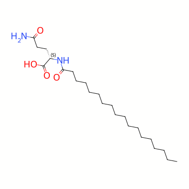 CCCCCCCCCCCCCCCCCC(=O)N[C@@H](CCC(N)=O)C(=O)O